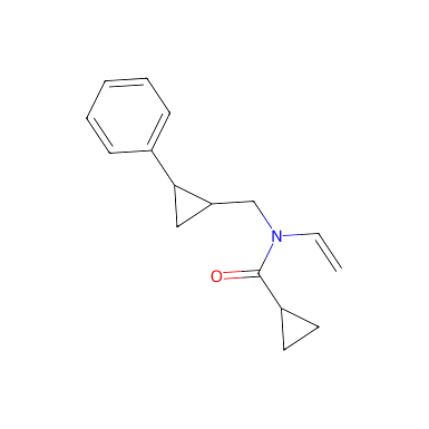 C=CN(CC1CC1c1ccccc1)C(=O)C1CC1